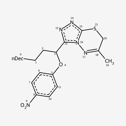 CCCCCCCCCCCCC(Oc1ccc([N+](=O)[O-])cc1)c1nnc2n1N=C(C)CS2